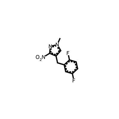 Cn1cc(Cc2cc(F)ccc2F)c([N+](=O)[O-])n1